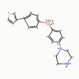 Cl.c1cc(-c2ccc(Oc3ccc(N4CCNCC4)cc3)cc2)cs1